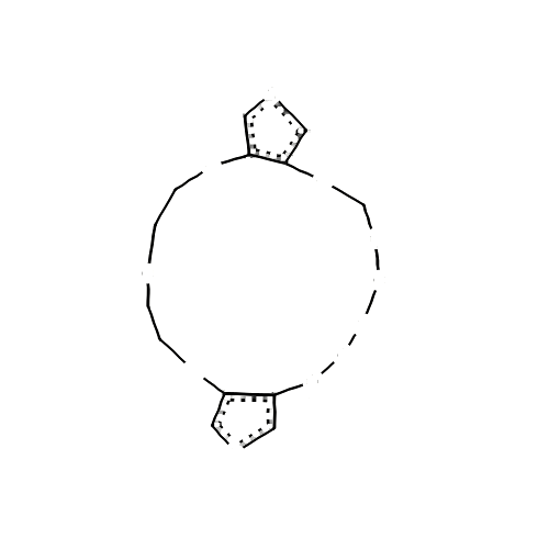 c1scc2c1OCCOCCOc1cscc1OCCOCCO2